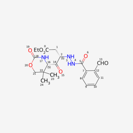 CCOC(=O)C[C@H](NNC(=O)c1ccccc1C=O)C(=O)[C@H]1NC(=O)OCC1(C)C